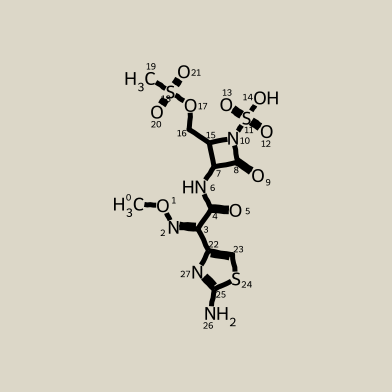 CON=C(C(=O)NC1C(=O)N(S(=O)(=O)O)C1COS(C)(=O)=O)c1csc(N)n1